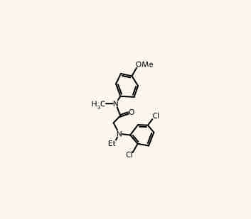 CCN(CC(=O)N(C)c1ccc(OC)cc1)c1cc(Cl)ccc1Cl